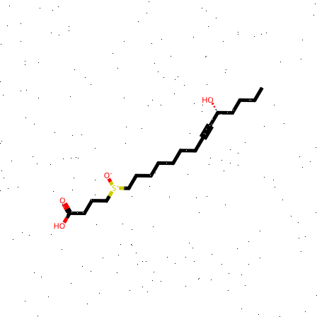 CCCC[C@@H](O)C#CCCCCCCC[S+]([O-])CCCC(=O)O